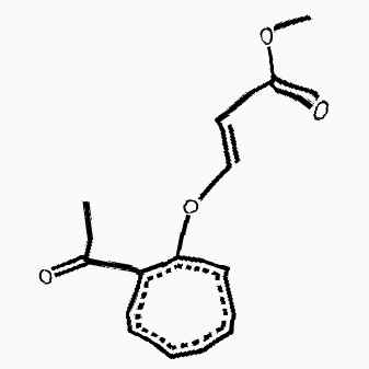 COC(=O)C=COc1ccccc1C(C)=O